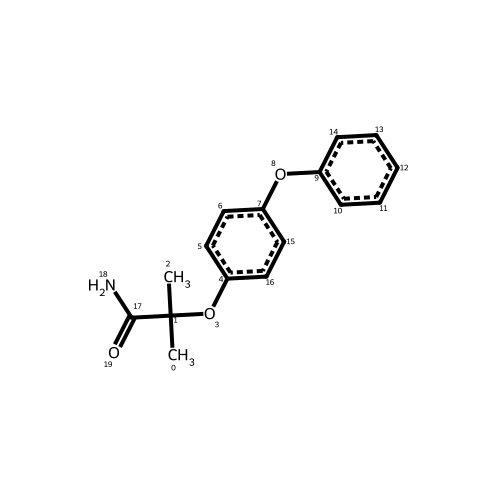 CC(C)(Oc1ccc(Oc2ccccc2)cc1)C(N)=O